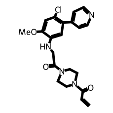 C=CC(=O)N1CCN(C(=O)CNc2cc(-c3ccncc3)c(Cl)cc2OC)CC1